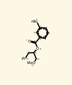 CCCCc1cccc(C(=O)OC(COC)CC(C)C)c1